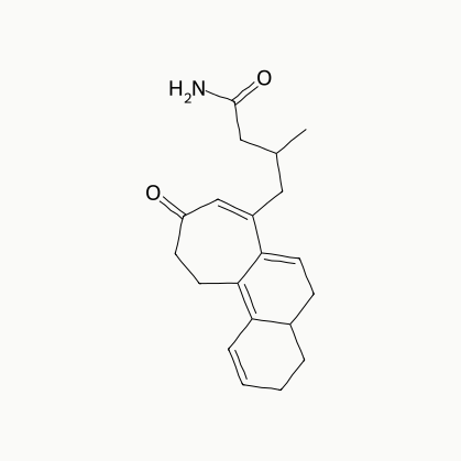 CC(CC(N)=O)CC1=CC(=O)CCC2=C3C=CCCC3CC=C12